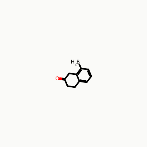 Bc1cccc2c1CC(=O)CC2